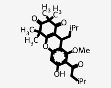 COc1c(C(=O)CC(C)C)c(O)cc2c1C(CC(C)C)C1=C(O2)C(C)(C)C(=O)C(C)(C)C1=O